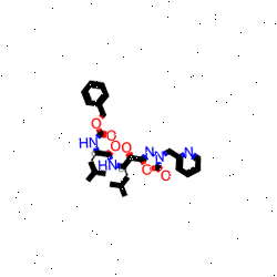 CC(C)C[C@H](NC(=O)OCc1ccccc1)C(=O)N[C@@H](CC(C)C)C(=O)c1nn(Cc2ccccn2)c(=O)o1